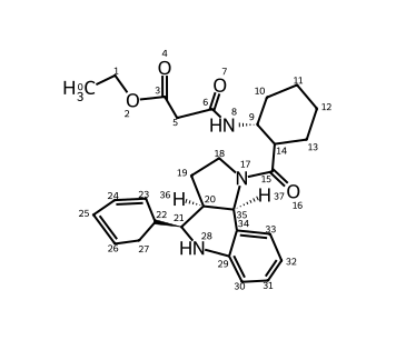 CCOC(=O)CC(=O)N[C@@H]1CCCCC1C(=O)N1CC[C@@H]2[C@H](C3C=CC=CC3)Nc3ccccc3[C@@H]21